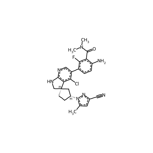 Cc1cc(C#N)nn1[C@@H]1CC[C@@]2(CNc3ncc(-c4ccc(N)c(C(=O)N(C)C)c4F)c(Cl)c32)C1